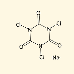 O=c1n(Cl)c(=O)n(Cl)c(=O)n1Cl.[Na]